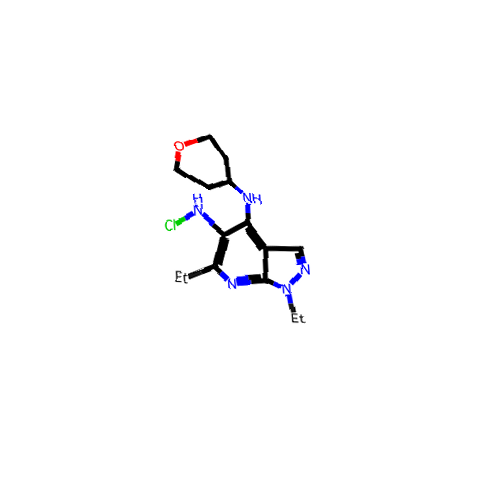 CCc1nc2c(cnn2CC)c(NC2CCOCC2)c1NCl